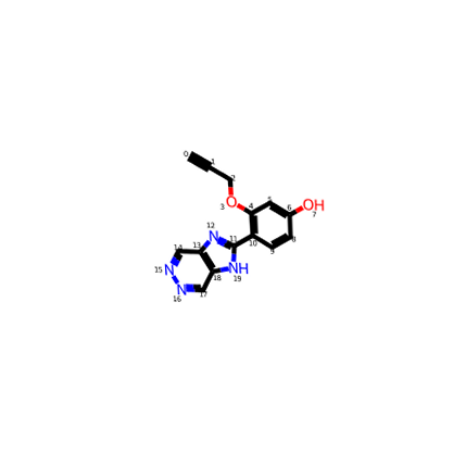 C#CCOc1cc(O)ccc1-c1nc2cnncc2[nH]1